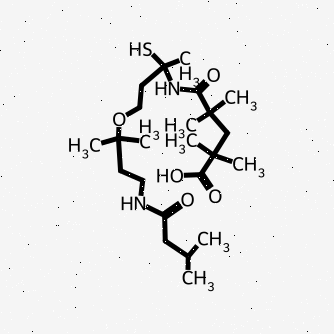 CC(C)CC(=O)NCCC(C)(C)OCCC(C)(S)NC(=O)C(C)(C)CC(C)(C)C(=O)O